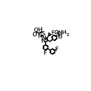 NS(=O)(=O)c1ccc(Cc2c(-c3ccc(F)c(-c4cccc(F)c4)c3)nn(-c3nc(C(=O)O)cs3)c2C2CC2)cc1F